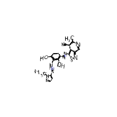 Cc1ncc2nsc(/N=N/c3ccc(O)c(/N=N/c4ccnn4C)c3O)c2c1C#N